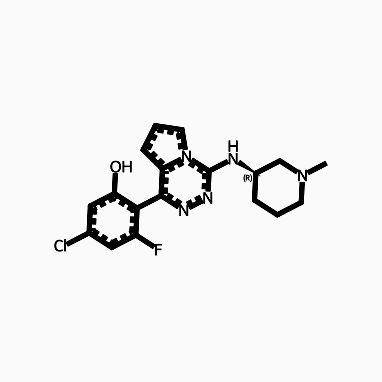 CN1CCC[C@@H](Nc2nnc(-c3c(O)cc(Cl)cc3F)c3cccn23)C1